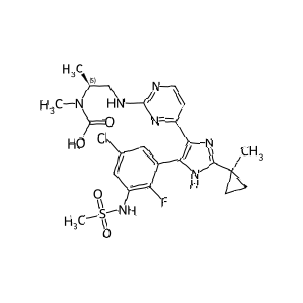 C[C@@H](CNc1nccc(-c2nc(C3(C)CC3)[nH]c2-c2cc(Cl)cc(NS(C)(=O)=O)c2F)n1)N(C)C(=O)O